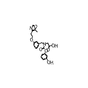 Cc1ocnc1CCOc1cccc(CN(CC(=O)O)C(=O)Oc2cccc(O)c2)c1